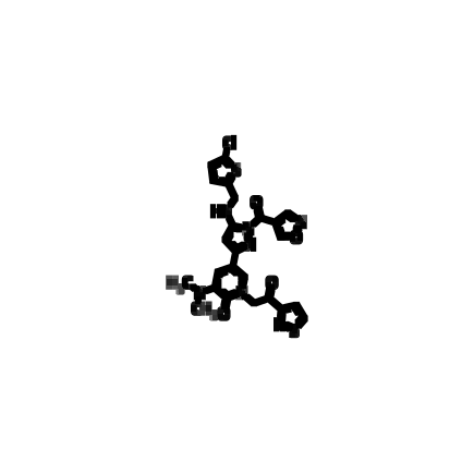 CN(C)c1cc(-c2cc(NCc3ccc(Cl)s3)n(C(=O)c3cnoc3)n2)cn(CC(=O)c2ccsn2)c1=O